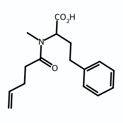 C=CCCC(=O)N(C)C(CCc1ccccc1)C(=O)O